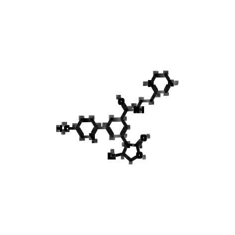 CCC1COC(=O)N1c1cc(C(=O)NCCc2cnccn2)cc(-c2ccc(C)cn2)c1